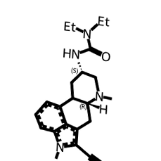 C#Cc1c2c3c(cccc3n1C)C1C[C@H](NC(=O)N(CC)CC)CN(C)[C@@H]1C2